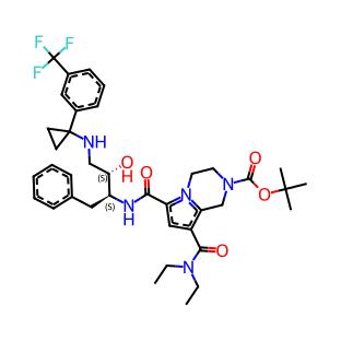 CCN(CC)C(=O)c1cc(C(=O)N[C@@H](Cc2ccccc2)[C@@H](O)CNC2(c3cccc(C(F)(F)F)c3)CC2)n2c1CN(C(=O)OC(C)(C)C)CC2